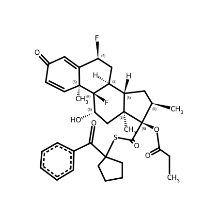 CCC(=O)O[C@]1(C(=O)SC2(C(=O)c3ccccc3)CCCC2)[C@H](C)C[C@H]2[C@@H]3C[C@H](F)C4=CC(=O)C=C[C@]4(C)[C@@]3(F)[C@@H](O)C[C@@]21C